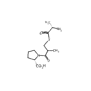 CC(CSC(=O)[C@H](C)N)C(=O)N1CCC[C@H]1C(=O)O